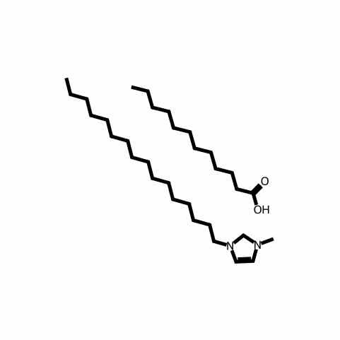 CCCCCCCCCCCC(=O)O.CCCCCCCCCCCCCCCCN1C=CN(C)C1